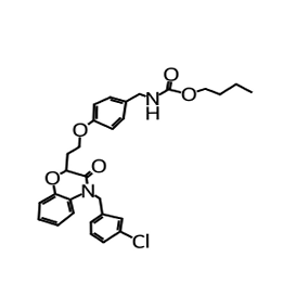 CCCCOC(=O)NCc1ccc(OCCC2Oc3ccccc3N(Cc3cccc(Cl)c3)C2=O)cc1